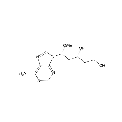 CO[C@H](C[C@H](O)CCO)n1cnc2c(N)ncnc21